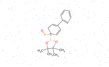 CC1(C)OB(C2(P=O)C=CC(c3ccccc3)=CC2)OC1(C)C